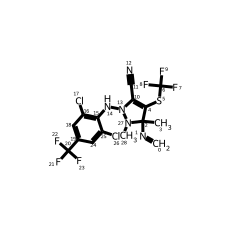 C=NC1(C)C(SC(F)(F)F)=C(C#N)N(Nc2c(Cl)cc(C(F)(F)F)cc2Cl)N1C